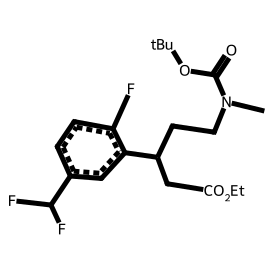 CCOC(=O)CC(CCN(C)C(=O)OC(C)(C)C)c1cc(C(F)F)ccc1F